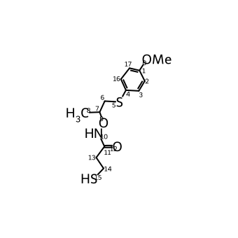 COc1ccc(SCC(C)ONC(=O)CCS)cc1